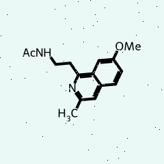 COc1ccc2cc(C)nc(CCNC(C)=O)c2c1